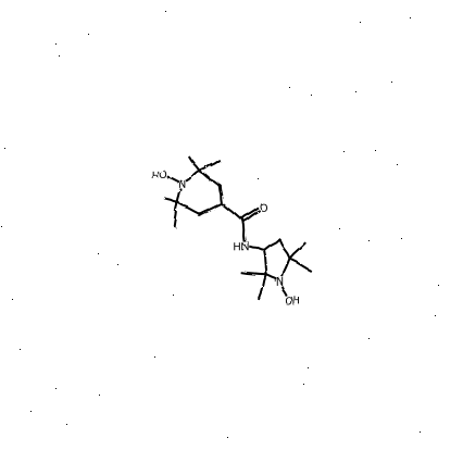 CC1(C)CC(C(=O)NC2CC(C)(C)N(O)C2(C)C)CC(C)(C)N1O